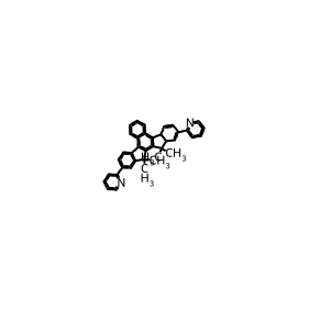 CC1(C)c2cc(-c3ccccn3)ccc2-c2c1c1c(c3ccccc23)C2C=CC(c3ccccn3)=CC2C1(C)C